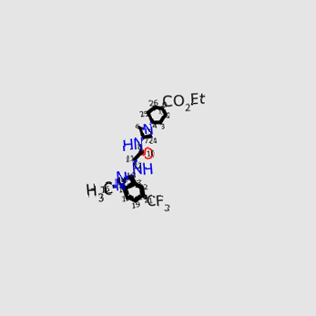 CCOC(=O)C1CCC(N2CC(NC(=O)CNc3nn(C)c4ccc(C(F)(F)F)cc34)C2)CC1